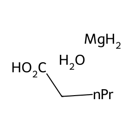 CCCCC(=O)O.O.[MgH2]